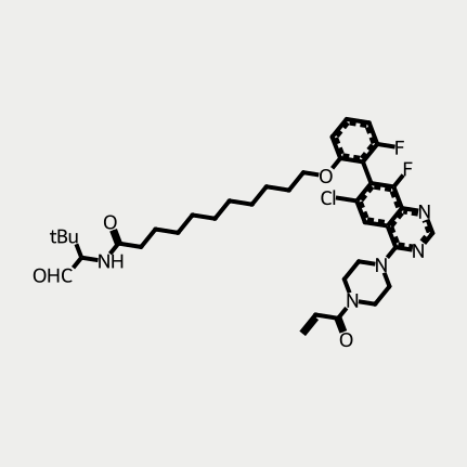 C=CC(=O)N1CCN(c2ncnc3c(F)c(-c4c(F)cccc4OCCCCCCCCCCC(=O)NC(C=O)C(C)(C)C)c(Cl)cc23)CC1